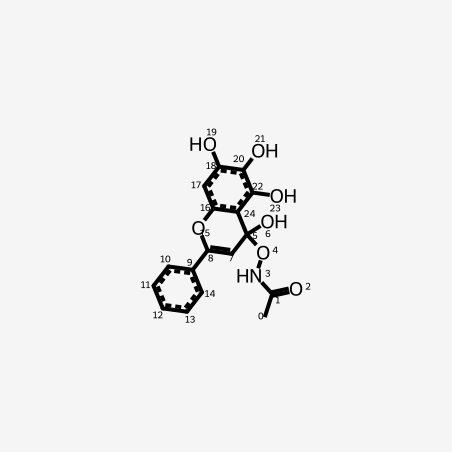 CC(=O)NOC1(O)C=C(c2ccccc2)Oc2cc(O)c(O)c(O)c21